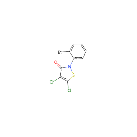 CCc1ccccc1-n1sc(Cl)c(Cl)c1=O